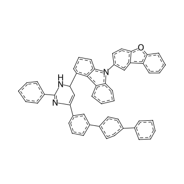 C1=C(c2cccc(-c3ccc(-c4ccccc4)cc3)c2)N=C(c2ccccc2)NC1c1cccc2c1c1ccccc1n2-c1ccc2oc3ccccc3c2c1